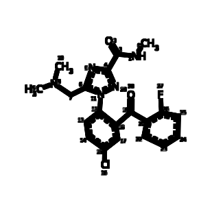 CNC(=O)c1nc(CN(C)C)n(-c2ccc(Cl)cc2C(=O)c2ccccc2F)n1